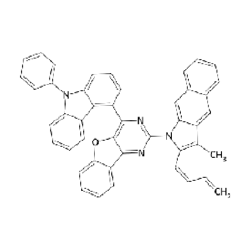 C=C/C=C\c1c(C)c2cc3ccccc3cc2n1-c1nc(-c2cccc3c2c2ccccc2n3-c2ccccc2)c2oc3ccccc3c2n1